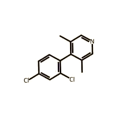 Cc1cncc(C)c1-c1ccc(Cl)cc1Cl